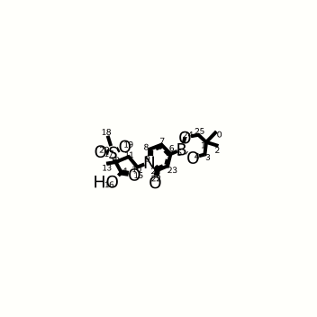 CC1(C)COB(c2ccn(CCC(C)(C(=O)O)S(C)(=O)=O)c(=O)c2)OC1